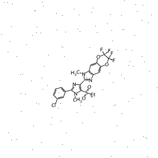 CCS(=O)(=O)c1c(-c2nc3cc4c(cc3n2C)OC(F)(F)C(F)(F)O4)nc(-c2cccc(Cl)c2)n1C